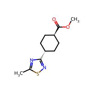 COC(=O)[C@H]1CC[C@H](c2nsc(C)n2)CC1